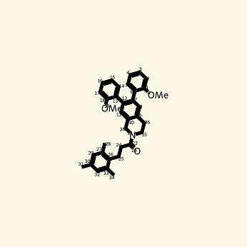 COc1ccccc1-c1cc2c(cc1-c1ccccc1OC)CN(C(=O)CCc1c(C)cc(C)cc1C)CC2